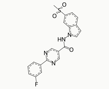 CS(=O)(=O)c1ccc2ccn(NC(=O)c3cnc(-c4cccc(F)c4)nc3)c2c1